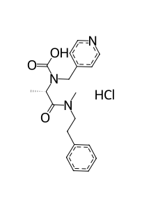 C[C@@H](C(=O)N(C)CCc1ccccc1)N(Cc1ccncc1)C(=O)O.Cl